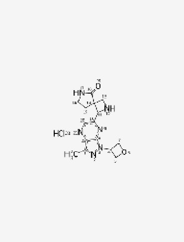 Cc1nn(C2COC2)c2nc(C3NCC34CCNC4=O)cnc12.Cl